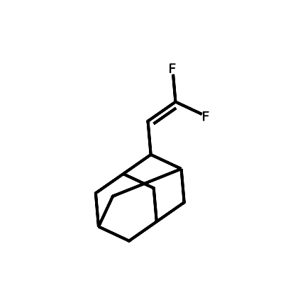 FC(F)=CC1C2CC3CC(C2)CC1C3